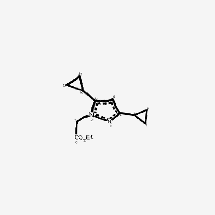 CCOC(=O)Cn1nc(C2CC2)cc1C1CC1